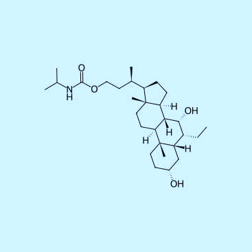 CC[C@H]1[C@@H](O)[C@@H]2[C@H](CC[C@]3(C)[C@@H]([C@H](C)CCOC(=O)NC(C)C)CC[C@@H]23)[C@@]2(C)CC[C@@H](O)C[C@@H]12